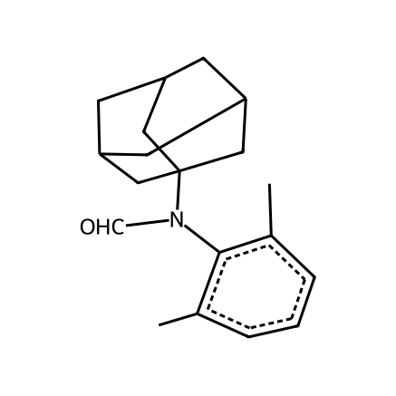 Cc1cccc(C)c1N(C=O)C12CC3CC(CC(C3)C1)C2